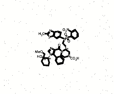 COC[C@]1(O)CCCC[C@H]1n1cnc(C(=O)N2CCN(C(=O)O)C[C@H]2CCN(c2ccc3nc(C)sc3c2)S(=O)(=O)c2ccccc2[N+](=O)[O-])c1-c1ccccc1